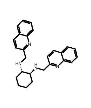 c1ccc2nc(CN[C@H]3CCCC[C@@H]3NCc3ccc4ccccc4n3)ccc2c1